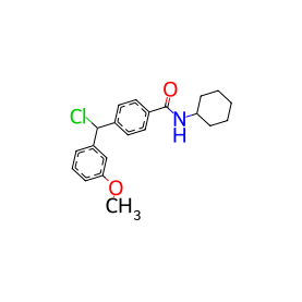 COc1cccc(C(Cl)c2ccc(C(=O)NC3CCCCC3)cc2)c1